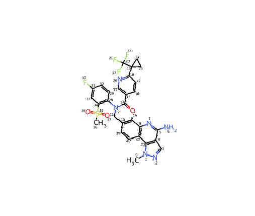 Cn1ncc2c(N)nc3cc(CN(C(=O)c4ccc(C5(C(F)(F)F)CC5)nc4)c4ccc(F)cc4S(C)(=O)=O)ccc3c21